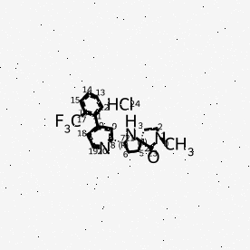 CN1CC[C@@]2(CC[C@H](c3cc(-c4ccccc4C(F)(F)F)ccn3)N2)C1=O.Cl